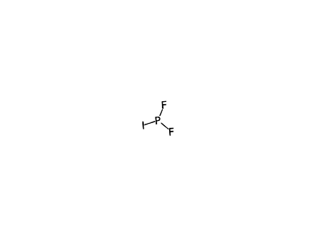 FP(F)I